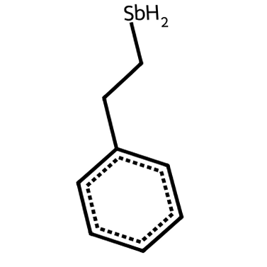 [SbH2][CH2]Cc1ccccc1